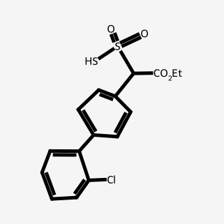 CCOC(=O)C(c1ccc(-c2ccccc2Cl)cc1)S(=O)(=O)S